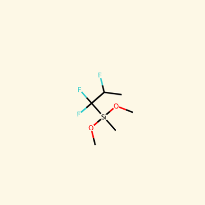 CO[Si](C)(OC)C(F)(F)C(C)F